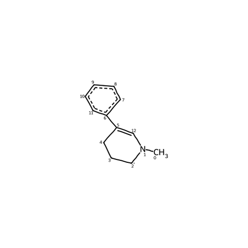 CN1[CH]CCC(c2ccccc2)=C1